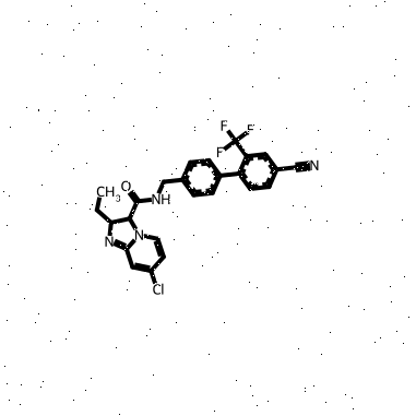 CCC1N=C2C=C(Cl)C=CN2C1C(=O)NCc1ccc(-c2ccc(C#N)cc2C(F)(F)F)cc1